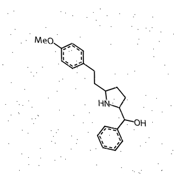 COc1ccc(CCC2CCC(C(O)c3ccccc3)N2)cc1